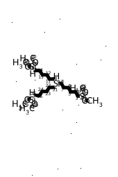 CO[SiH](CCCCCC[SiH](CCCCCC[SiH](OC)OC)CCCCCC[SiH](OC)OC)OC